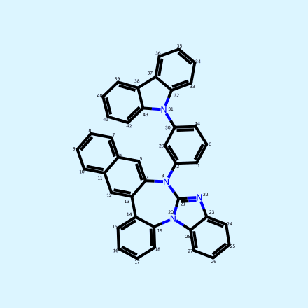 c1cc(N2c3cc4ccccc4cc3-c3ccccc3-n3c2nc2ccccc23)cc(-n2c3ccccc3c3ccccc32)c1